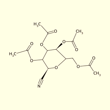 CC(=O)OCC1O[C@@H](C#N)C(OC(C)=O)C(OC(C)=O)[C@H]1OC(C)=O